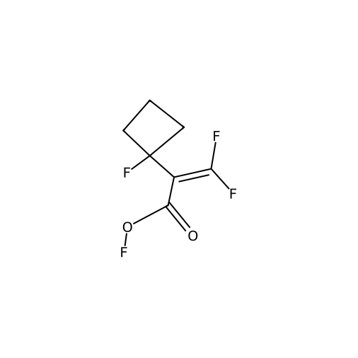 O=C(OF)C(=C(F)F)C1(F)CCC1